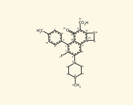 Cc1ccc(-c2c(F)c(N3CCN(C)CC3)cc3c2c(=O)c(C(=O)O)c2n3CS2)cc1